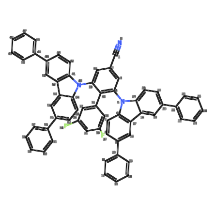 N#Cc1cc(-n2c3ccc(-c4ccccc4)cc3c3cc(-c4ccccc4)ccc32)c(-c2cc(F)cc(F)c2)c(-n2c3ccc(-c4ccccc4)cc3c3cc(-c4ccccc4)ccc32)c1